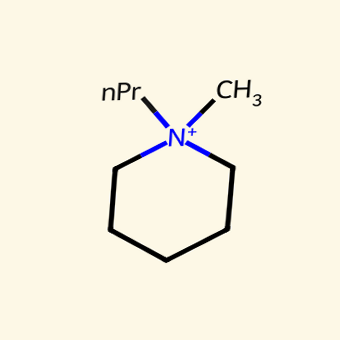 CCC[N+]1(C)CCCCC1